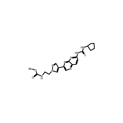 CC(C)(C)OC(=O)NCCn1cc(-c2cnc3ccc(NC(=S)NC4CCCC4)nc3n2)cn1